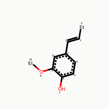 CCC=Cc1ccc(O)c(OCC)c1